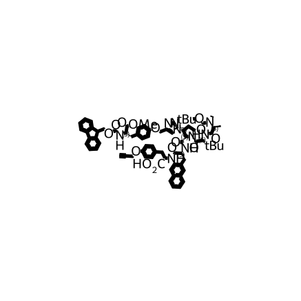 C#CCOc1ccc(CC(NC(=O)[C@H](Cc2ccc3ccccc3c2)NC(=O)[C@@H]2[C@H](n3cc(COc4ccc(C[C@H](NC(=O)OCC5c6ccccc6-c6ccccc65)C(=O)OC)cc4)nn3)CCN2C(=O)[C@@H](NC(=O)[C@H](C)N(C)C(=O)OC(C)(C)C)C(C)(C)C)C(=O)O)cc1